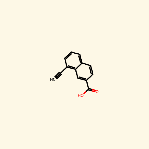 C#Cc1cccc2ccc(C(=O)O)cc12